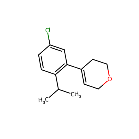 CC(C)c1ccc(Cl)cc1C1=CCOCC1